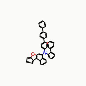 c1ccc(-c2ccc(-c3ccc(N(c4ccccc4-c4ccccc4)c4cc5oc6ccccc6c5c5ccccc45)cc3)cc2)cc1